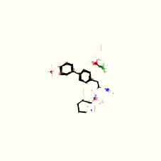 N#C[C@H](Cc1ccc(-c2ccc3c(c2)OCO3)cc1)NC(=O)[C@@H]1CCCCN1.O=C(O)C(F)(F)F